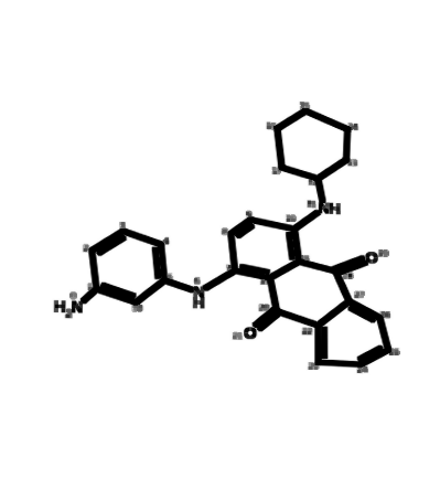 Nc1cccc(Nc2ccc(NC3CCCCC3)c3c2C(=O)c2ccccc2C3=O)c1